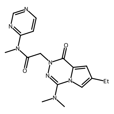 CCc1cc2c(=O)n(CC(=O)N(C)c3ccncn3)nc(N(C)C)n2c1